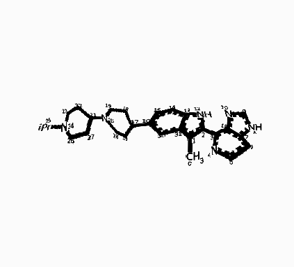 Cc1c(-c2nccc3[nH]cnc23)[nH]c2ccc(C3CCN(C4CCN(C(C)C)CC4)CC3)cc12